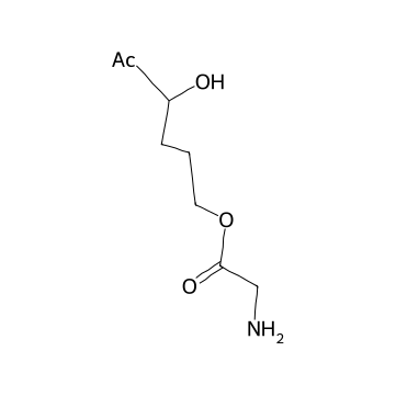 CC(=O)C(O)CCCOC(=O)CN